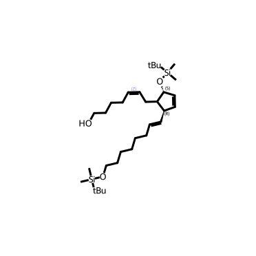 CC(C)(C)[Si](C)(C)OCCCCCCC=C[C@@H]1C=C[C@@H](O[Si](C)(C)C(C)(C)C)C1C/C=C\CCCCO